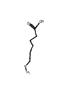 C[N]CCCCCC(=O)O